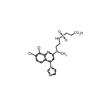 CN(CCNS(=O)(=O)CCC(=O)O)c1cc(-n2ccnc2)c2ccc(Cl)c(Cl)c2n1